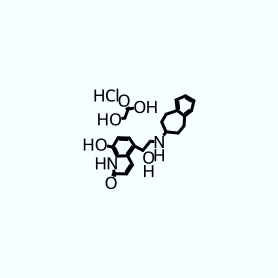 Cl.O=C(O)CO.O=c1ccc2c([C@@H](O)CNC3CCc4ccccc4CC3)ccc(O)c2[nH]1